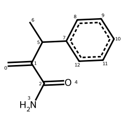 C=C(C(N)=O)C(C)c1ccccc1